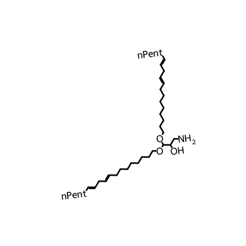 CCCCCC=CCC=CCCCCCCCCOC(OCCCCCCCCC=CCC=CCCCCC)C(O)CN